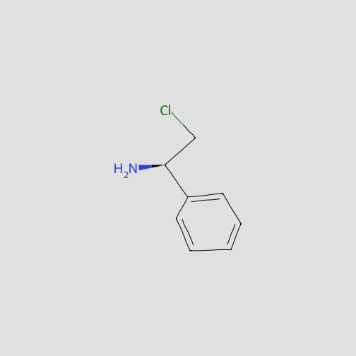 N[C@@H](CCl)c1ccccc1